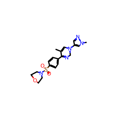 CC1=CN(c2cnn(C)c2)CN=C1c1ccc(S(=O)(=O)N2CCOCC2)cc1